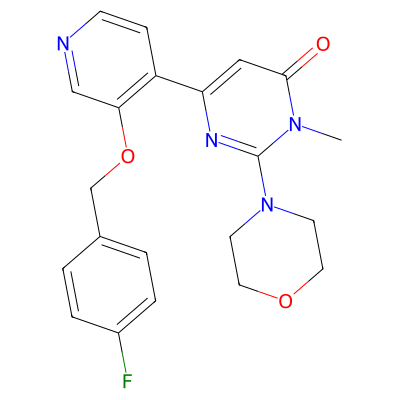 Cn1c(N2CCOCC2)nc(-c2ccncc2OCc2ccc(F)cc2)cc1=O